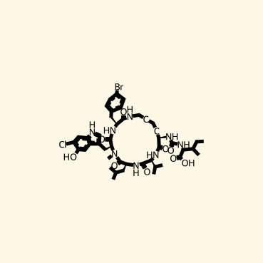 CCC(C)[C@H](NC(=O)N[C@@H]1CCCCNC(=O)[C@H](Cc2ccc(Br)cc2)NC(=O)[C@H](Cc2c[nH]c3cc(Cl)c(O)cc23)N(C)C(=O)[C@H](CC(C)C)NC(=O)[C@H](C(C)C)NC1=O)C(=O)O